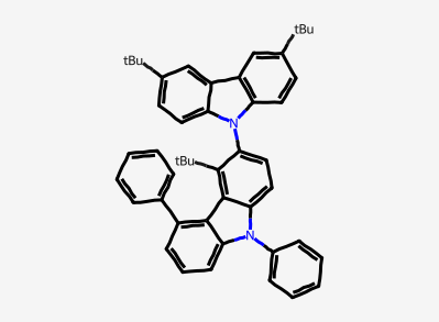 CC(C)(C)c1ccc2c(c1)c1cc(C(C)(C)C)ccc1n2-c1ccc2c(c1C(C)(C)C)c1c(-c3ccccc3)cccc1n2-c1ccccc1